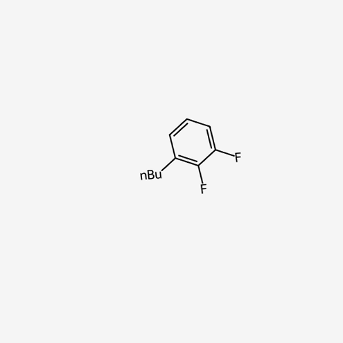 [CH2]CCCc1cccc(F)c1F